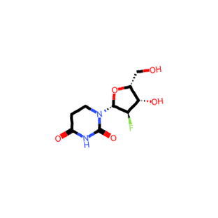 O=C1CCN([C@@H]2O[C@H](CO)[C@H](O)[C@H]2F)C(=O)N1